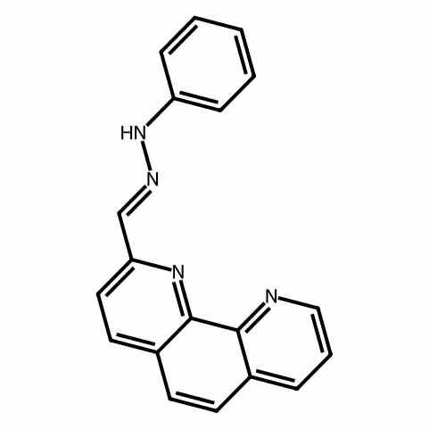 C(=NNc1ccccc1)c1ccc2ccc3cccnc3c2n1